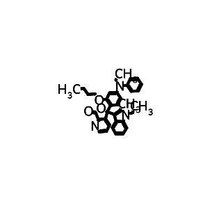 CCCCOc1cc(N(CC)c2ccccc2)ccc1C1(c2c(C)n(CC)c3ccccc23)OC(=O)c2ncccc21